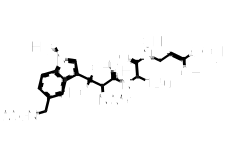 CNCc1ccc2c(c1)c(C(C)(C)C(NC)C(=O)NC(C(=O)N(C)C/C=C(\C)C(=O)O)C(C)(C)C)cn2C